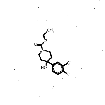 CCOC(=O)N1CCC(O)(c2ccc(Cl)c(Cl)c2)CC1